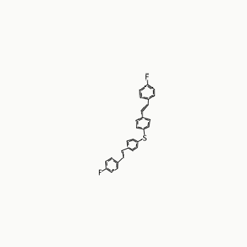 Fc1ccc(/C=C/c2ccc(Sc3ccc(/C=C/c4ccc(F)cc4)cc3)cc2)cc1